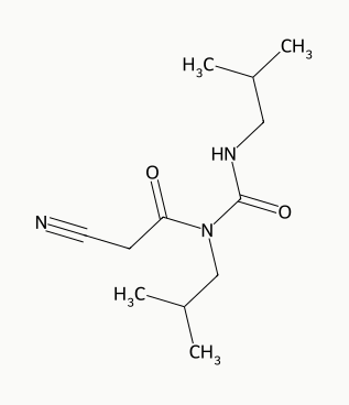 CC(C)CNC(=O)N(CC(C)C)C(=O)CC#N